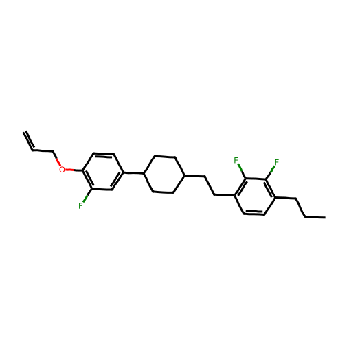 C=CCOc1ccc(C2CCC(CCc3ccc(CCC)c(F)c3F)CC2)cc1F